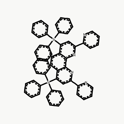 c1ccc([Si](c2ccccc2)(c2ccccc2)c2cc(-c3ccccn3)nc3c2ccc2c([Si](c4ccccc4)(c4ccccc4)c4ccccc4)cc(-c4ccccn4)nc23)cc1